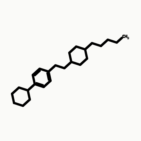 CCCCCC1CCC(CCc2ccc(C3CCCCC3)cc2)CC1